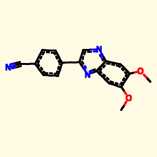 COc1cc2ncc(-c3ccc(C#N)cc3)nc2cc1OC